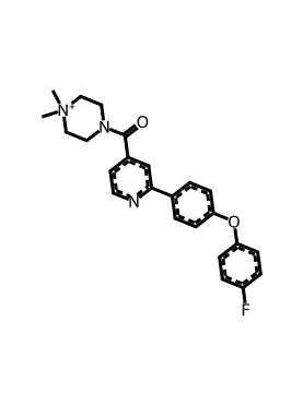 C[N+]1(C)CCN(C(=O)c2ccnc(-c3ccc(Oc4ccc(F)cc4)cc3)c2)CC1